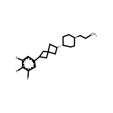 CCC[C@H]1CC[C@H](C2CC3(CC(c4cc(F)c(F)c(F)c4)C3)C2)CC1